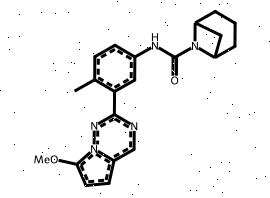 COc1ccc2cnc(-c3cc(NC(=O)N4C5CCCC4C5)ccc3C)nn12